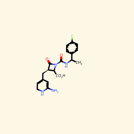 CC(NC(=O)N1C(=O)[C@H](CC2=CCNC(N)=C2)C1C(=O)O)c1ccc(F)cc1